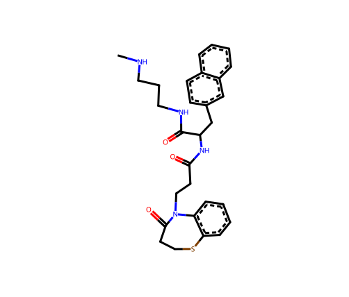 CNCCCNC(=O)C(Cc1ccc2ccccc2c1)NC(=O)CCN1C(=O)CCSc2ccccc21